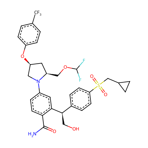 NC(=O)c1ccc(N2C[C@@H](Oc3ccc(C(F)(F)F)cc3)C[C@H]2COC(F)F)cc1[C@H](CO)c1ccc(S(=O)(=O)CC2CC2)cc1